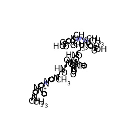 CCN(CC)c1ccc2nc3ccc(/N=N/c4ccc(N(C)CCCC(=O)NCCNC(=O)[C@H](CCNC(=O)CCCCCN5\C(=C/C=C/C=C/C6=[N+](CC)c7ccc(S(=O)(=O)O)cc7C6(C)C)C(C)(C)c6cc(S(=O)(=O)O)ccc65)NC(=O)[C@H](CC5CCCCC5)NC(=O)N5CCOCC5)cc4)cc3[n+](-c3ccccc3)c2c1